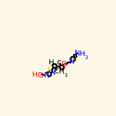 Cc1c(OCCCN2CCC3(CC2)CC(N)C3)cccc1-c1cccc(-c2nc3c(s2)CN(CCO)CC3)c1C